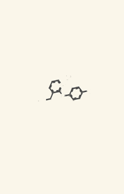 O=C([O-])Cc1cccnc1Nc1ccc(Cl)cc1.[Na+]